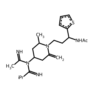 C=C1CC(N(C(C)=N)C(=N)C(C)C)CC(C)N1CCC(NC(C)=O)c1cccs1